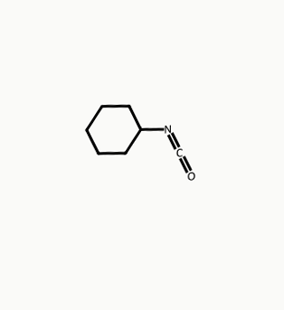 O=C=N[C]1CCCCC1